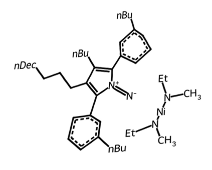 CCCCCCCCCCCCCC1=C(c2cccc(CCCC)c2)[N+](=[N-])C(c2cccc(CCCC)c2)=C1CCCC.CC[N](C)[Ni][N](C)CC